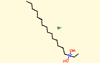 CCCCCCCCCCCCCCC[N+](O)(O)CC.[Br-]